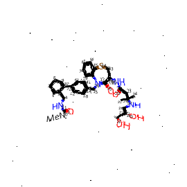 CNC(=O)NCc1ccccc1-c1ccc(CN2C(=O)[C@H](NC(=O)CC(C)(C)NC[C@H](O)CO)CSc3ccccc32)cc1